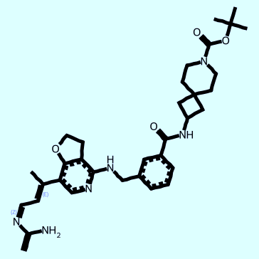 C=C(N)/N=C\C=C(/C)c1cnc(NCc2cccc(C(=O)NC3CC4(CCN(C(=O)OC(C)(C)C)CC4)C3)c2)c2c1OCC2